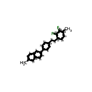 Cc1ccc2cc(-c3ccc(CCc4ccc(C)c(F)c4F)cc3)ccc2c1